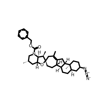 CC1=C2C[C@H]3[C@@H](CC[C@@H]4CC(N=[N+]=[N-])CC[C@@]43C)[C@@H]2CC[C@@]2(C1)O[C@@H]1C[C@H](C)CN(C(=O)OCc3ccccc3)[C@H]1[C@H]2C